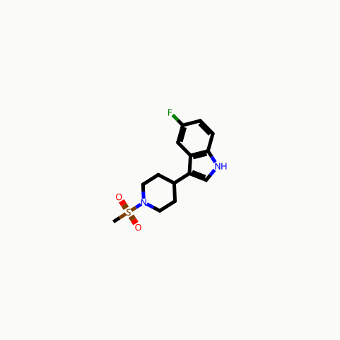 CS(=O)(=O)N1CCC(c2c[nH]c3ccc(F)cc23)CC1